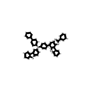 c1ccc(-c2ccc(N(c3ccc(-c4cc5nc(-c6ccccc6)oc5c5c4oc4ccccc45)cc3)c3ccc4sc5ccccc5c4c3)cc2)cc1